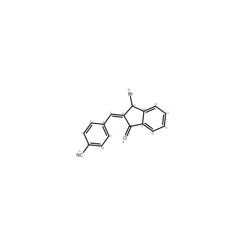 N#Cc1ccc(/C=C2\C(=O)c3ccccc3C2Br)cc1